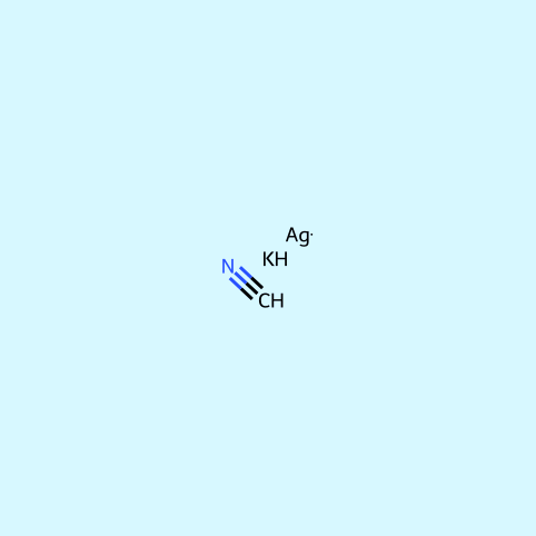 C#N.[Ag].[KH]